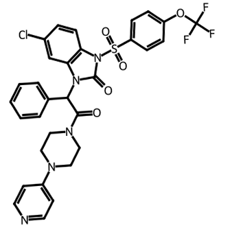 O=C(C(c1ccccc1)n1c(=O)n(S(=O)(=O)c2ccc(OC(F)(F)F)cc2)c2ccc(Cl)cc21)N1CCN(c2ccncc2)CC1